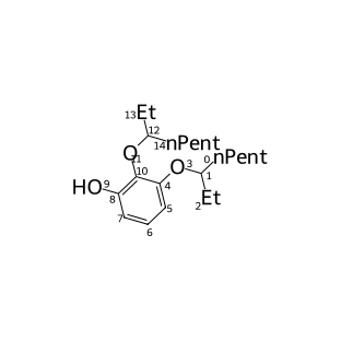 CCCCCC(CC)Oc1cccc(O)c1OC(CC)CCCCC